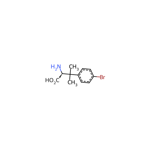 CC(C)(c1ccc(Br)cc1)[C@H](N)C(=O)O